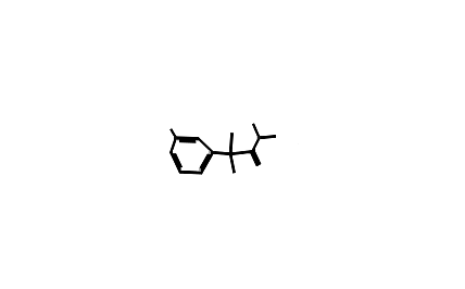 CCOC(=O)C(C(=O)OCC)C(=O)C(C)(C)c1cccc(C(F)(F)F)c1